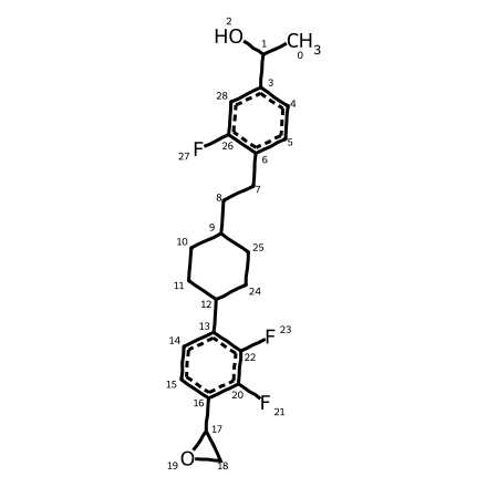 CC(O)c1ccc(CCC2CCC(c3ccc(C4CO4)c(F)c3F)CC2)c(F)c1